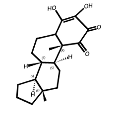 C[C@@]12CCC[C@H]1[C@@H]1CCC3C(O)=C(O)C(=O)C(=O)[C@]3(C)[C@H]1CC2